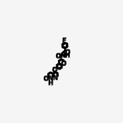 O=C1CCc2c(Oc3ccc4c(c3)C[C@@H](C(=O)NCC(=O)c3ccc(F)cc3)CO4)ccnc2N1